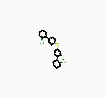 Clc1ccccc1-c1ccc(Sc2ccc(-c3ccccc3Cl)cc2)cc1